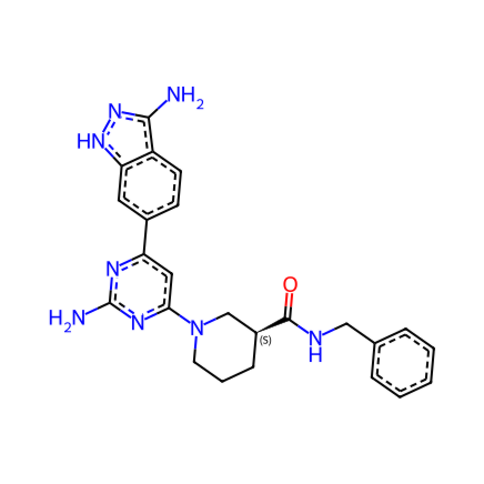 Nc1nc(-c2ccc3c(N)n[nH]c3c2)cc(N2CCC[C@H](C(=O)NCc3ccccc3)C2)n1